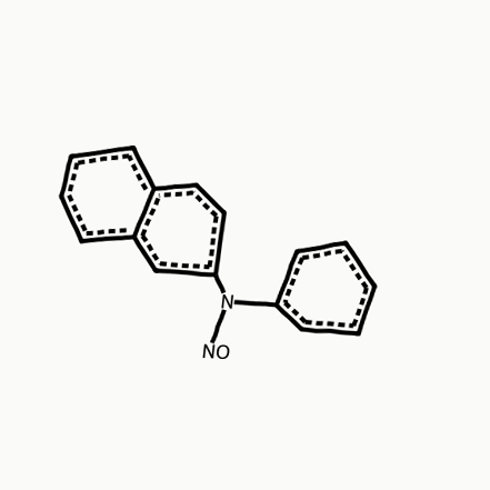 O=NN(c1ccccc1)c1ccc2ccccc2c1